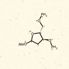 COC1C[C@H](OP)[C@@H](COP)O1